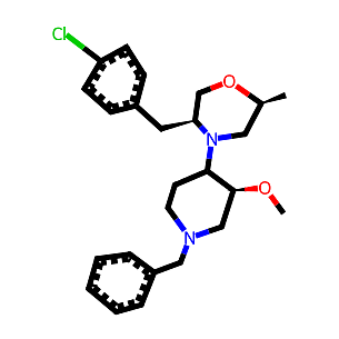 CO[C@H]1CN(Cc2ccccc2)CCC1N1C[C@H](C)OC[C@@H]1Cc1ccc(Cl)cc1